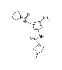 Nc1cc(NC(=O)[C@@H]2CCC(=O)O2)cc(NC(=O)N2CCCC2)c1